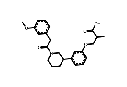 COc1cccc(CC(=O)N2CCCC(c3cccc(OCC(C)C(=O)O)c3)C2)c1